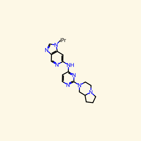 CC(C)n1cnc2cnc(Nc3ccnc(N4CCN5CCCC5C4)n3)cc21